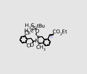 CCOC(=O)/C=C/c1cccc2c1C[C@H](CO[Si](C)(C)C(C)(C)C)N(C(=O)Cc1c(Cl)cccc1Cl)[C@H]2C